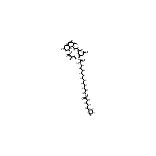 CCC(C)C(=O)OC1C[C@H](C)C=C2C=CC(C)C(CCC3CC(OC(=O)NCCCCCCCCCCCCOC(=O)CCCCC4CCSS4)CC(=O)O3)C21